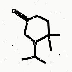 CC(C)N1CC(=O)CCC1(C)C